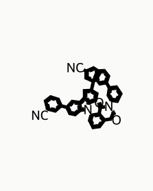 N#Cc1cccc(-c2ccc3c(c2)c2cc(-c4cccc(C#N)c4)ccc2n3-c2cccc3c2C(=O)N(c2cccc(-c4ccccc4)c2)C2OC32)c1